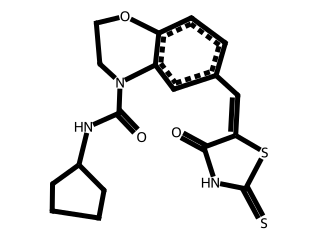 O=C1NC(=S)SC1=Cc1ccc2c(c1)N(C(=O)NC1CCCC1)CCO2